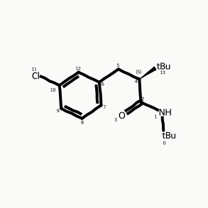 CC(C)(C)NC(=O)[C@@H](Cc1cccc(Cl)c1)C(C)(C)C